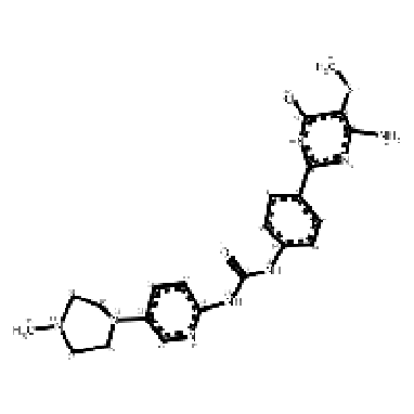 CSc1c(N)nc(-c2ccc(NC(=O)Nc3ccc(N4CCN(C)CC4)cn3)cc2)nc1Cl